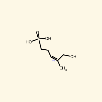 C/C(=C/CCP(=O)(O)O)CO